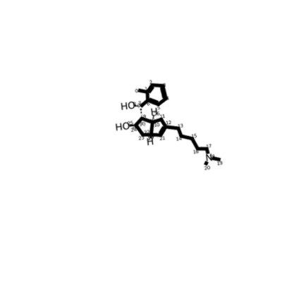 Cc1ccccc1[C@@H](O)[C@@H]1[C@H]2CC(CCCCCN(C)C)=C[C@H]2C[C@H]1O